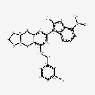 Cc1cc2c(B(O)O)cccc2n1-c1nc2c(c(NCc3cccc(F)c3)n1)CN1CCCC1C2